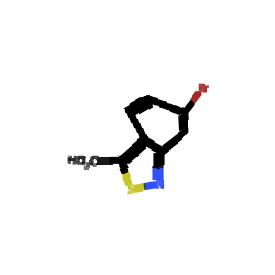 O=C(O)c1snc2cc(Br)ccc12